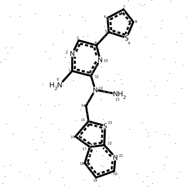 Nc1ncc(-c2cccs2)nc1N(N)Cc1cc2cccnc2s1